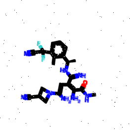 CNC(=O)/C(N)=C(/C=C(\N)N1CC(C#N)C1)C(=N)N[C@H](C)c1cccc(C(F)(F)C#N)c1C